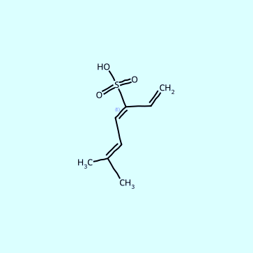 C=C/C(=C\C=C(C)C)S(=O)(=O)O